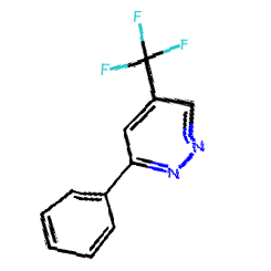 FC(F)(F)c1cnnc(-c2ccccc2)c1